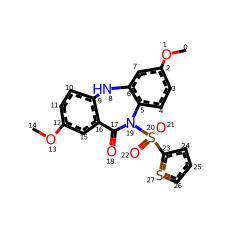 COc1ccc2c(c1)Nc1ccc(OC)cc1C(=O)N2S(=O)(=O)c1cccs1